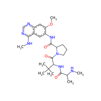 CNc1ncnc2cc(OC)c(NC(=O)C3CCCN3C(=O)C(NC(=O)C(C)NC)C(C)(C)C)cc12